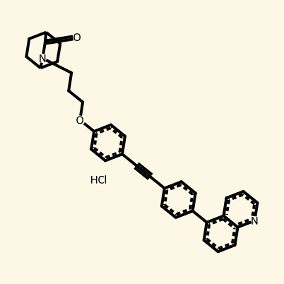 Cl.O=C1C2CCC(CC2)N1CCCOc1ccc(C#Cc2ccc(-c3cccc4ncccc34)cc2)cc1